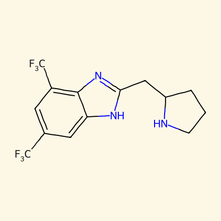 FC(F)(F)c1cc(C(F)(F)F)c2nc(CC3CCCN3)[nH]c2c1